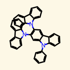 c1ccc(-n2c3ccccc3c3cc(-n4c5ccccc5c5ccccc54)c(-n4c5ccccc5c5ccccc54)cc32)cc1